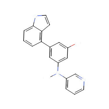 CN(c1cccnc1)c1cc(O)cc(-c2cccc3[nH]ccc23)c1